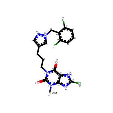 CCCCCn1c(=O)n(CCCc2cnn(Cc3c(F)cccc3F)c2)c(=O)c2[nH]c(Cl)nc21